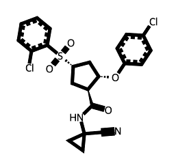 N#CC1(NC(=O)[C@H]2C[C@H](S(=O)(=O)c3ccccc3Cl)C[C@@H]2Oc2ccc(Cl)cc2)CC1